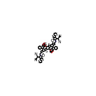 N#CC(C#N)=C1/C(=C/c2cc3c(s2)-c2sc4c(-c5cccs5)c5c6c(sc5c(-c5cccs5)c4c2C3(c2ccccc2)c2ccccc2)-c2sc(/C=C3\C(=O)c4sc5ccsc5c4C3=C(C#N)C#N)cc2C6(c2ccccc2)c2ccccc2)C(=O)c2sc3ccsc3c21